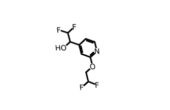 OC(c1ccnc(OCC(F)F)c1)C(F)F